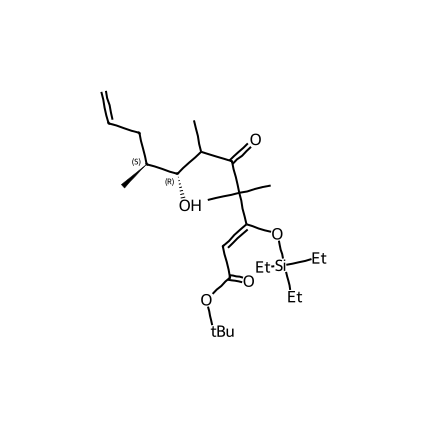 C=CC[C@H](C)[C@@H](O)C(C)C(=O)C(C)(C)C(=CC(=O)OC(C)(C)C)O[Si](CC)(CC)CC